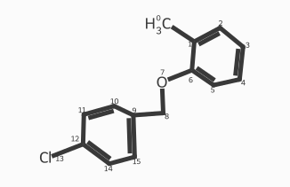 Cc1ccccc1OCc1ccc(Cl)cc1